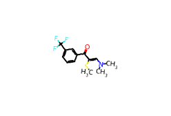 CSC(=CN(C)C)C(=O)c1cccc(C(F)(F)F)c1